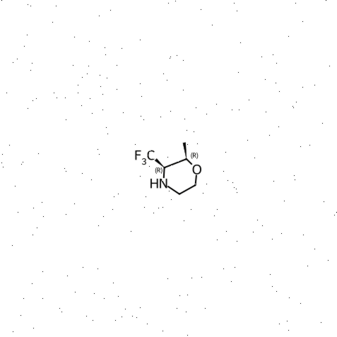 C[C@H]1OCCN[C@H]1C(F)(F)F